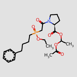 CCOP(=O)(CCCCc1ccccc1)CC(=O)N1CCC[C@H]1C(=O)OC(C)OC(C)=O